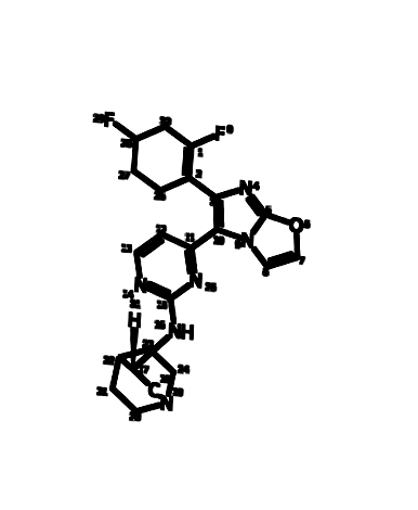 FC1=C(c2nc3occn3c2-c2ccnc(N[C@@H]3CN4CCC3CC4)n2)CCC(F)C1